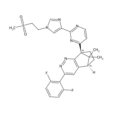 CC1(C)[C@H]2CC[C@@]1(c1ccnc(-c3cn(CCS(C)(=O)=O)cn3)n1)c1nnc(-c3c(F)cccc3F)cc12